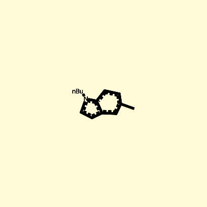 CCCCn1ccc2cc(C)ccc21